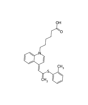 C=C(C=C1C=CN(CCCCCC(=O)O)c2ccccc21)Sc1ccccc1C